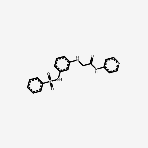 O=C(CNc1cccc(NS(=O)(=O)c2ccccc2)c1)Nc1ccncc1